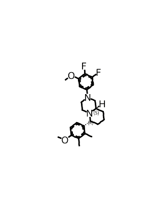 COc1ccc([C@H]2CCC[C@H]3CN(c4cc(F)c(F)c(OC)c4)CCN32)c(C)c1C